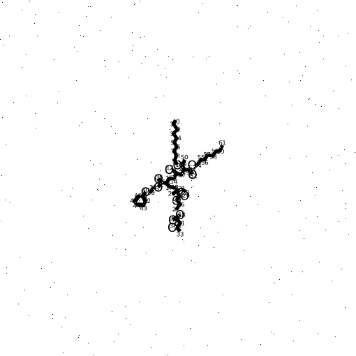 CCCCCCCCCCOC(=O)C(CCC(CCC(C)(CC)C(=O)OCCOC(=O)CC(C)=O)C(=O)OCCOc1ccccc1)CC(CC)C(=O)OCCCCCCCC